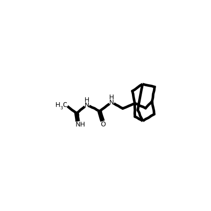 CC(=N)NC(=O)NCC12CC3CC(CC(C3)C1)C2